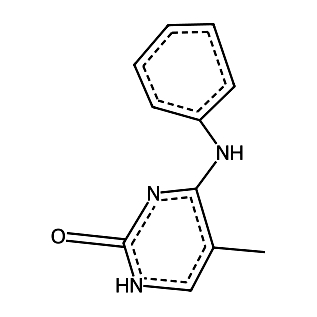 Cc1c[nH]c(=O)nc1Nc1ccccc1